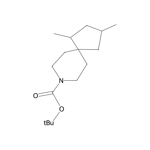 CC1CC(C)C2(CCN(C(=O)OC(C)(C)C)CC2)C1